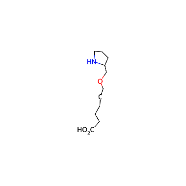 O=C(O)CCCCCOCC1CCCN1